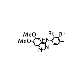 COc1cc2ncnc(Nc3ccc(C)c(Br)c3Br)c2cc1OC